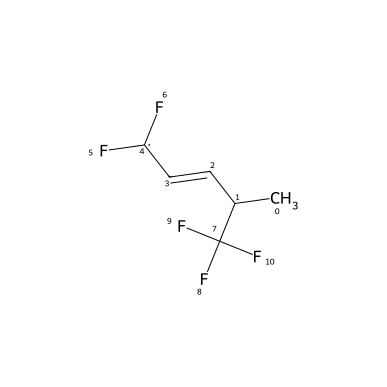 CC(C=C[C](F)F)C(F)(F)F